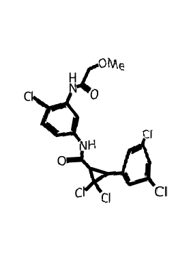 COCC(=O)Nc1cc(NC(=O)C2C(c3cc(Cl)cc(Cl)c3)C2(Cl)Cl)ccc1Cl